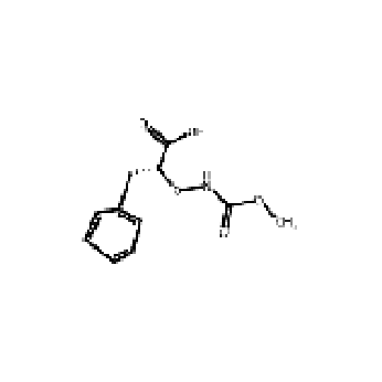 COC(=O)NO[C@H](Cc1ccccc1)C(=O)O